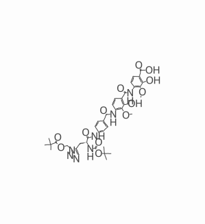 COc1c(NC(=O)c2ccc(NC(=O)c3ccc(NC(=O)[C@H](Cc4cnnn4COC(=O)C(C)(C)C)NC(=O)OC(C)(C)C)cc3)c(OC)c2O)ccc(C(=O)O)c1O